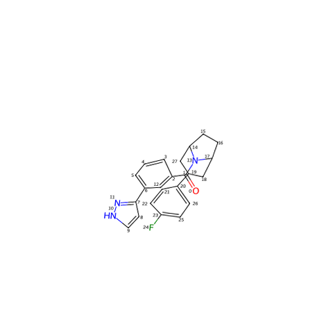 O=C(c1cccc(-c2cc[nH]n2)c1)N1C2CCC1CC(c1ccc(F)cc1)C2